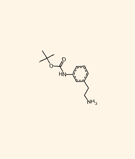 CC(C)(C)OC(=O)Nc1cccc(CCN)c1